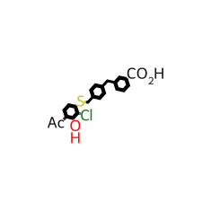 CC(=O)c1ccc(SCc2ccc(Cc3cccc(C(=O)O)c3)cc2)c(Cl)c1O